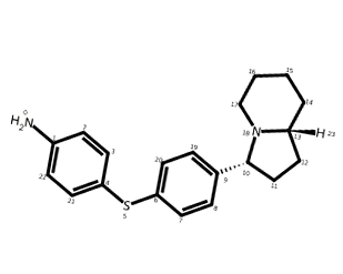 Nc1ccc(Sc2ccc([C@H]3CC[C@H]4CCCCN43)cc2)cc1